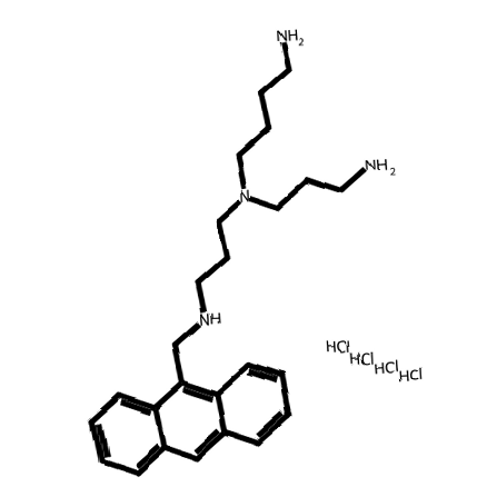 Cl.Cl.Cl.Cl.NCCCCN(CCCN)CCCNCc1c2ccccc2cc2ccccc12